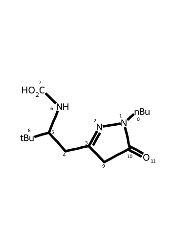 CCCCN1N=C(CC(NC(=O)O)C(C)(C)C)CC1=O